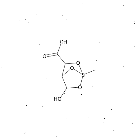 C[Si]12OC(O)C(O1)C(C(=O)O)O2